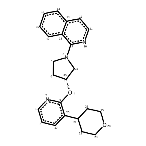 c1cnc(O[C@@H]2CCN(c3nccc4ccccc34)C2)c(C2CCOCC2)c1